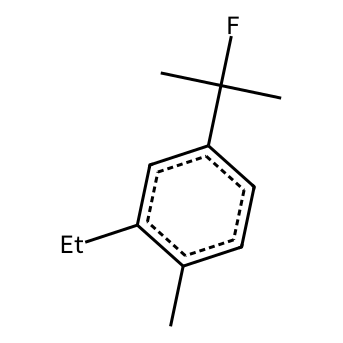 CCc1cc(C(C)(C)F)ccc1C